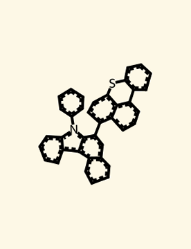 c1ccc(-n2c3ccccc3c3c4ccccc4cc(-c4ccc5c6c(cccc46)-c4ccccc4S5)c32)cc1